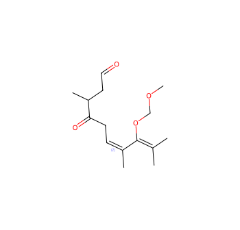 COCOC(=C(C)C)/C(C)=C\CC(=O)C(C)CC=O